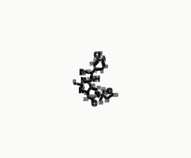 Cc1nc(NC(Br)c2cccc(C(F)(F)F)c2)c2cn(C3(C)CCOC3)c(=O)cc2n1